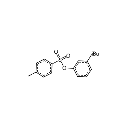 CCC(C)c1cccc(OS(=O)(=O)c2ccc(C)cc2)c1